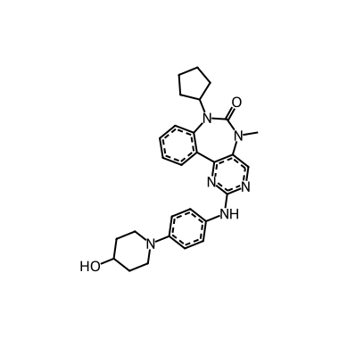 CN1C(=O)N(C2CCCC2)c2ccccc2-c2nc(Nc3ccc(N4CCC(O)CC4)cc3)ncc21